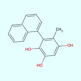 Cc1c(O)cc(O)c(O)c1-c1cccc2ccccc12